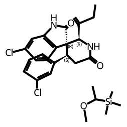 C=C(CC)[C@H]1NC(=O)C[C@@H](c2cccc(Cl)c2)[C@]12C(=O)Nc1cc(Cl)ccc12.COC(C)[Si](C)(C)C